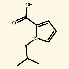 CC(C)C[SH]1C=CC=C1C(=O)O